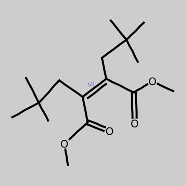 COC(=O)/C(CC(C)(C)C)=C(/CC(C)(C)C)C(=O)OC